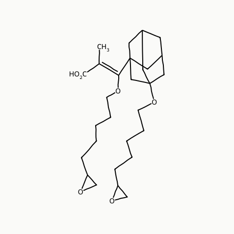 CC(C(=O)O)=C(OCCCCCC1CO1)C12CC3CC(CC(OCCCCCC4CO4)(C3)C1)C2